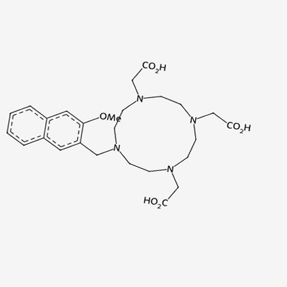 COc1cc2ccccc2cc1CN1CCN(CC(=O)O)CCN(CC(=O)O)CCN(CC(=O)O)CC1